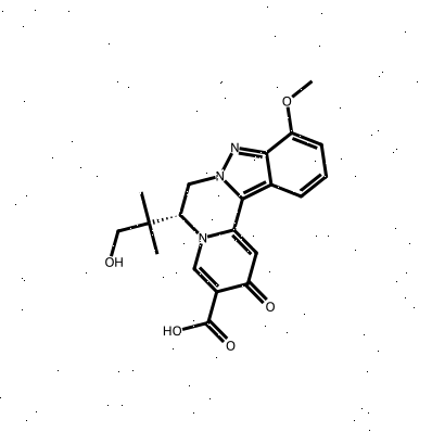 COc1cccc2c3n(nc12)C[C@@H](C(C)(C)CO)n1cc(C(=O)O)c(=O)cc1-3